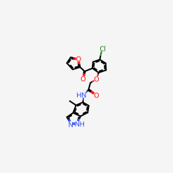 Cc1c(NC(=O)COc2ccc(Cl)cc2C(=O)c2ccco2)ccc2[nH]ncc12